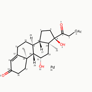 CC(=O)OCC(=O)[C@@]1(O)CC[C@H]2[C@@H]3CCC4=CC(=O)CC[C@]4(C)[C@H]3[C@@H](O)C[C@@]21C.[Pd]